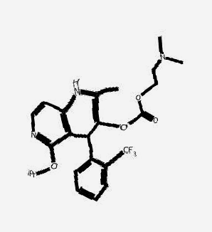 CC1=C(OC(=O)OCCN(C)C)C(c2ccccc2C(F)(F)F)c2c(ccnc2OC(C)C)N1